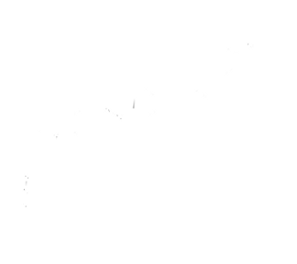 CN(CCCN=[N+]=[N-])c1ccc(N=Nc2ccc(COC(=O)Oc3ccc([N+](=O)[O-])cc3)cc2)cc1